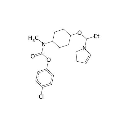 CCC(OC1CCC(N(C)C(=O)Oc2ccc(Cl)cc2)CC1)N1C=CCC1